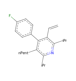 C=Cc1c(C(C)C)nc(C(C)C)c(CCCCC)c1-c1ccc(F)cc1